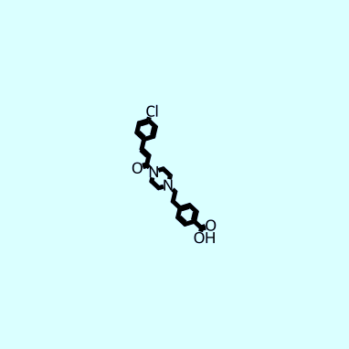 O=C(O)c1ccc(CCN2CCN(C(=O)C=Cc3ccc(Cl)cc3)CC2)cc1